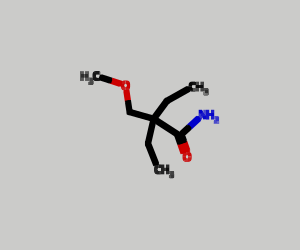 CCC(CC)(COC)C(N)=O